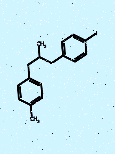 Cc1ccc(CC(C)Cc2ccc(I)cc2)cc1